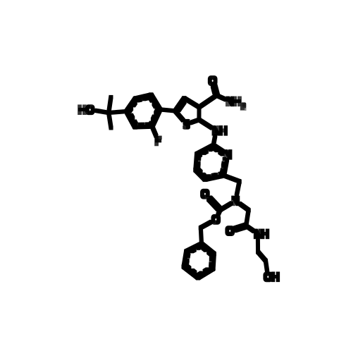 CC(C)(O)c1ccc(C2=CC(C(N)=O)C(Nc3cccc(CN(CC(=O)NCCO)C(=O)OCc4ccccc4)n3)S2)c(F)c1